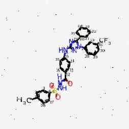 Cc1ccc(S(=O)(=O)NNC(=O)c2ccc(Nc3nc(-c4ccccc4)n(-c4cccc(C(F)(F)F)c4)n3)cc2)cc1